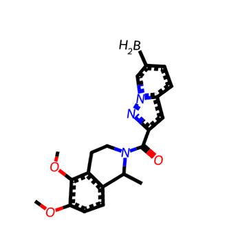 Bc1ccc2cc(C(=O)N3CCc4c(ccc(OC)c4OC)C3C)nn2c1